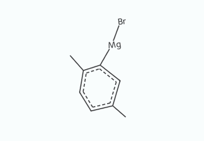 Cc1ccc(C)[c]([Mg][Br])c1